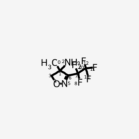 CC1(N)CON=C1C(F)(F)C(F)(F)F